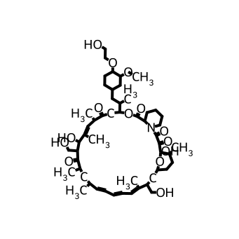 COC1CC(CC(C)C2CC(=O)C(C)/C=C(\C)C(O)C(CO)C(=O)C(C)CC(C)/C=C/C=C/C=C(\C)C(CO)CC3CCC(C)C(O)(O3)C(=O)C(=O)N3CCCCC3C(=O)O2)CCC1OCCO